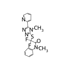 CN(C(=O)C(F)(F)Sc1nnc(-c2ccccn2)n1C)c1ccccc1